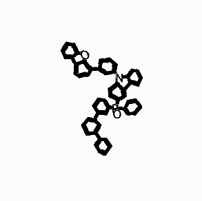 O=P(c1ccccc1)(c1cccc(-c2cccc(-c3ccccc3)c2)c1)c1ccc2c(c1)c1ccccc1n2-c1cccc(-c2cccc3c2oc2ccccc23)c1